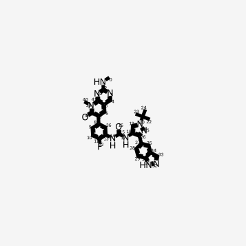 CNc1ncc2cc(-c3ccc(F)c(NC(=O)Nc4cn(C(C)(C)C)nc4-c4ccc5[nH]ncc5c4)c3)c(=O)n(C)c2n1